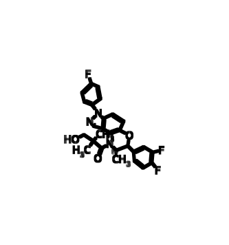 C[C@H](NC(=O)C(C)(C)CO)C(Oc1ccc2c(cnn2-c2ccc(F)cc2)c1)c1ccc(F)c(F)c1